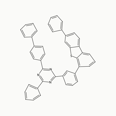 c1ccc(-c2ccc(-c3nc(-c4ccccc4)nc(-c4cccc(-c5cccc6c5sc5cc(-c7ccccc7)ccc56)c4)n3)cc2)cc1